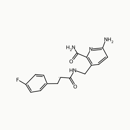 NC(=O)c1nc(N)ccc1CNC(=O)[CH]Cc1ccc(F)cc1